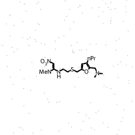 CCCc1cc(CSCCNC(=C[N+](=O)[O-])NC)oc1CN(C)C